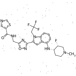 CN1CC[C@H](Nc2cccc3c2cc(-c2noc(CNC(=O)c4cncs4)n2)n3CC(F)(F)F)[C@H](F)C1